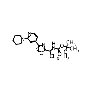 CC(NC(=O)OC(C)(C)C)c1nc(-c2ccnc(N3CCCCC3)c2)no1